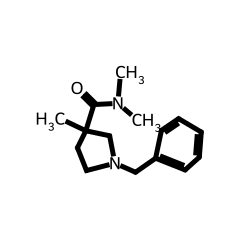 CN(C)C(=O)C1(C)CCN(Cc2ccccc2)C1